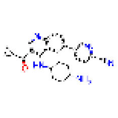 N#Cc1ccc(-c2ccc3ncc(C(=O)C4CC4)c(N[C@H]4CC[C@H](N)CC4)c3c2)cn1